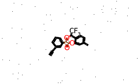 C#Cc1cccc(S(=O)(=O)OC(c2ccc(C)cc2)C(F)(F)F)c1